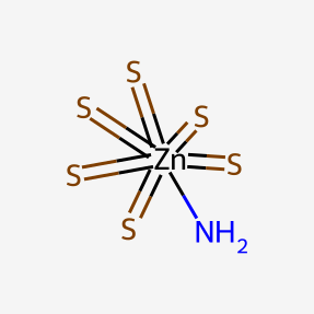 [NH2][Zn](=[S])(=[S])(=[S])(=[S])(=[S])=[S]